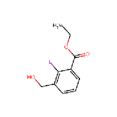 O=C(OC[SiH3])c1cccc(CO)c1I